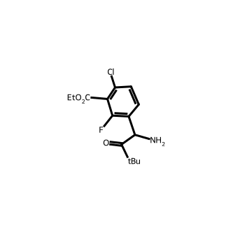 CCOC(=O)c1c(Cl)ccc(C(N)C(=O)C(C)(C)C)c1F